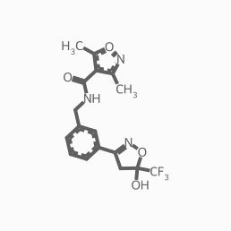 Cc1noc(C)c1C(=O)NCc1cccc(C2=NOC(O)(C(F)(F)F)C2)c1